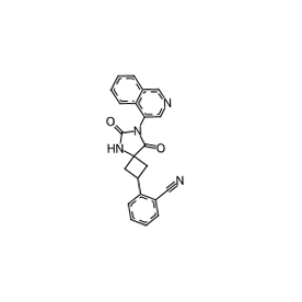 N#Cc1ccccc1C1CC2(C1)NC(=O)N(c1cncc3ccccc13)C2=O